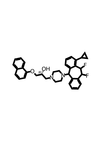 O[C@@H](COc1cccc2ccccc12)CN1CCN(C2c3ccccc3C(F)C(F)c3c(C4CC4)cccc32)CC1